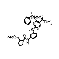 COCC1CCCN1C(=O)Nc1cccc(Nc2ncc(C(N)=O)c(N[C@H](C)c3ccccc3)n2)c1